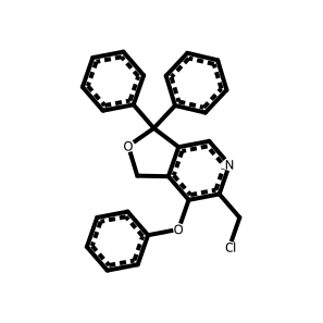 ClCc1ncc2c(c1Oc1ccccc1)COC2(c1ccccc1)c1ccccc1